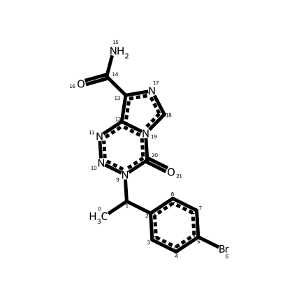 CC(c1ccc(Br)cc1)n1nnc2c(C(N)=O)ncn2c1=O